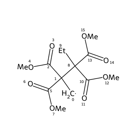 [CH2]C(C(=O)OC)(C(=O)OC)C(CC)(C(=O)OC)C(=O)OC